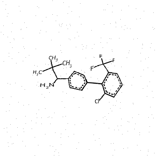 CC(C)(C)C(N)c1ccc(-c2c(Cl)c[c]cc2C(F)(F)F)cc1